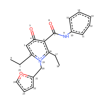 CCc1cc(=O)c(C(=O)Nc2ccccc2)c(CC)n1Cc1ccco1